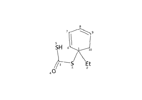 CCC1(SC(=O)S)C=CC=CC1